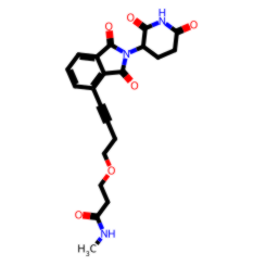 CNC(=O)CCOCCC#Cc1cccc2c1C(=O)N(C1CCC(=O)NC1=O)C2=O